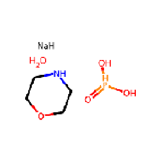 C1COCCN1.O.O=[PH](O)O.[NaH]